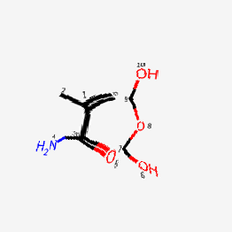 C=C(C)C(N)=O.OCOCO